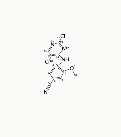 COc1cc(C#N)ccc1Nc1nc(Cl)ncc1Cl